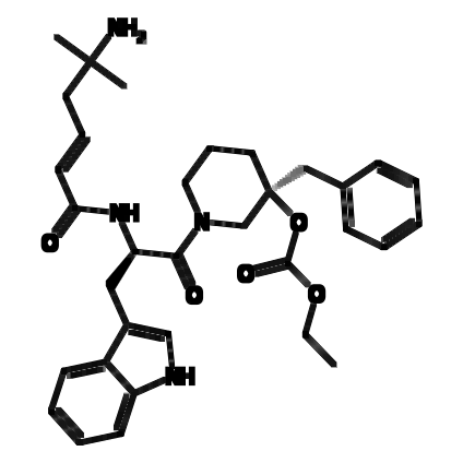 CCOC(=O)O[C@]1(Cc2ccccc2)CCCN(C(=O)[C@@H](Cc2c[nH]c3ccccc23)NC(=O)/C=C/CC(C)(C)N)C1